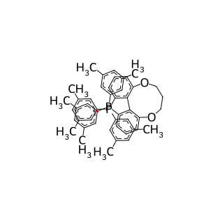 Cc1cc(C)cc(P(c2cc(C)cc(C)c2)c2cccc3c2-c2c(cccc2P(c2cc(C)cc(C)c2)c2cc(C)cc(C)c2)OCCCO3)c1